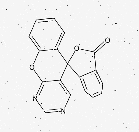 O=C1OC2(c3ccccc3Oc3ncncc32)c2ccccc21